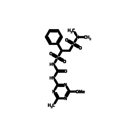 COc1nc(C)nc(NC(=O)NS(=O)(=O)C(CS(=O)(=O)N(C)C)c2ccccc2)n1